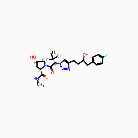 CNC(=O)[C@H]1C[C@H](O)CN1C(=O)[C@@H](n1cc(CCC(O)Cc2ccc(F)cc2)nn1)C(C)(C)C